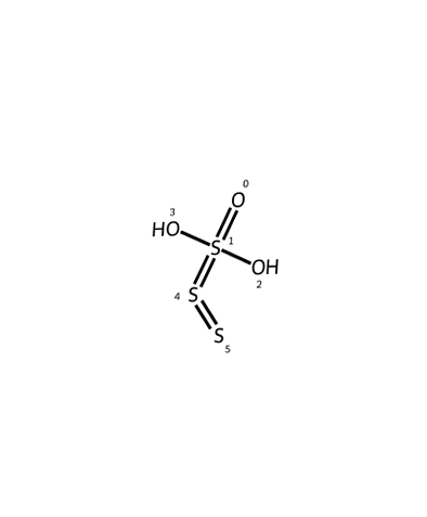 O=S(O)(O)=S=S